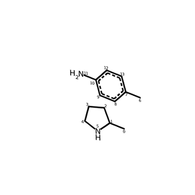 CC1CCCN1.Cc1ccc(N)cc1